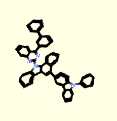 C1=C(c2ccc3c(c2)c2ccccc2n3-c2ccccc2)c2ccccc2C2C1c1ccccc1N2c1nc(-c2cccc(-c3ccccc3)c2)c2ccccc2n1